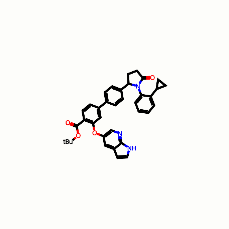 CC(C)(C)OC(=O)c1ccc(-c2ccc(C3CCC(=O)N3c3ccccc3C3CC3)cc2)cc1Oc1cnc2[nH]ccc2c1